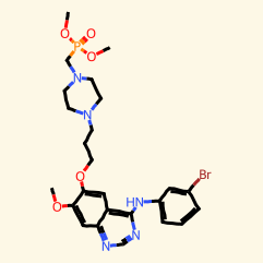 COc1cc2ncnc(Nc3cccc(Br)c3)c2cc1OCCCN1CCN(CP(=O)(OC)OC)CC1